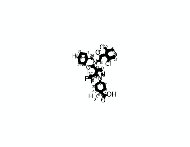 CC1(C(=O)O)CCC(n2ncc(C(=O)N(CC(=O)c3c(Cl)cncc3Cl)C[C@]34CC[C@@H](CC3)O4)c2C(F)(F)F)CC1